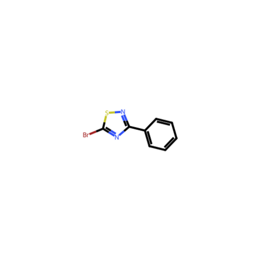 Brc1nc(-c2ccccc2)ns1